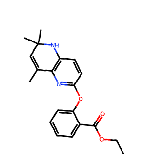 CCOC(=O)c1ccccc1Oc1ccc2c(n1)C(C)=CC(C)(C)N2